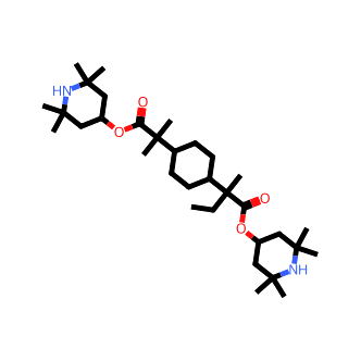 CCC(C)(C(=O)OC1CC(C)(C)NC(C)(C)C1)C1CCC(C(C)(C)C(=O)OC2CC(C)(C)NC(C)(C)C2)CC1